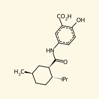 CC(C)[C@@H]1CC[C@@H](C)C[C@H]1C(=O)Nc1ccc(O)c(C(=O)O)c1